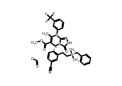 COC(=O)C1=C(C)N(c2cccc(C(F)(F)F)c2)c2n[nH]c(=O)n2[C@@H]1c1ccc(C#N)cc1CC[N+](C)(C)Cc1ccccc1.O=C[O-]